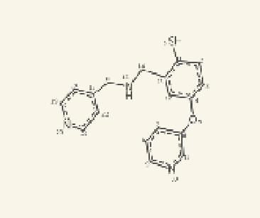 Sc1ccc(Oc2cccnc2)cc1CNCc1ccncc1